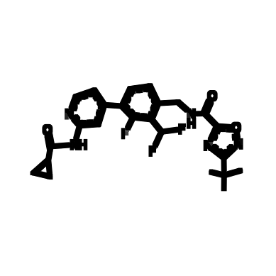 CC(C)(C)c1noc(C(=O)NCc2ccc(-c3ccnc(NC(=O)C4CC4)c3)c(F)c2C(F)F)n1